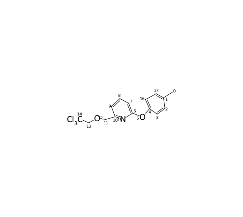 Cc1ccc(Oc2cccc(COCC(Cl)(Cl)Cl)n2)cc1